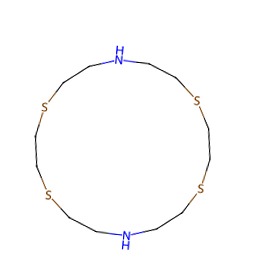 C1CSCCSCCNCCSCCSCCN1